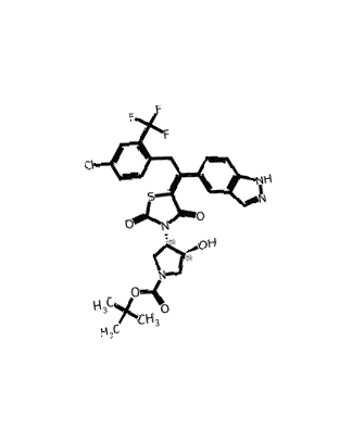 CC(C)(C)OC(=O)N1C[C@H](O)[C@@H](N2C(=O)SC(=C(Cc3ccc(Cl)cc3C(F)(F)F)c3ccc4[nH]ncc4c3)C2=O)C1